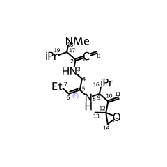 C=C=C(NC/C(=C\CC)NC(C(=C)C1(C)CO1)C(C)C)C(NC)C(C)C